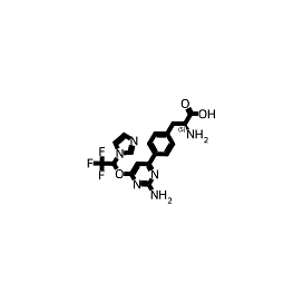 Nc1nc(OC(n2ccnc2)C(F)(F)F)cc(-c2ccc(C[C@H](N)C(=O)O)cc2)n1